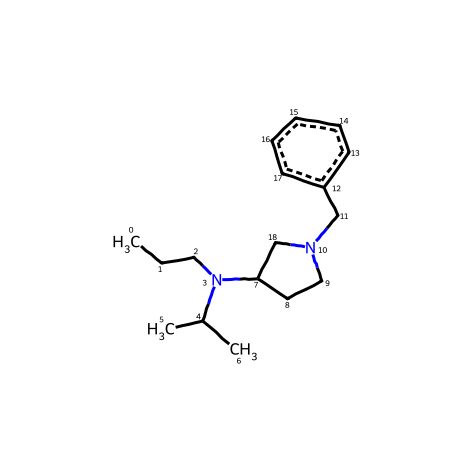 CCCN(C(C)C)C1CCN(Cc2ccccc2)C1